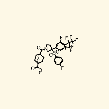 COC(=O)C12CCC(C(=O)N3CCC(c4ccc(C(F)(C(F)(F)F)C(F)(F)F)c(F)c4)(S(=O)(=O)c4ccc(F)cc4)C3)(CC1)CC2